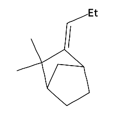 CCC=C1C2CCC(C2)C1(C)C